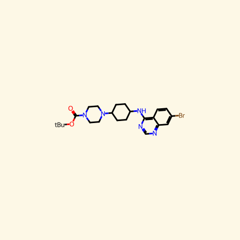 CC(C)(C)OC(=O)N1CCN(C2CCC(Nc3ncnc4cc(Br)ccc34)CC2)CC1